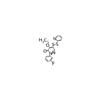 CCOc1c(SSc2ccccn2)cnn(-c2cccc(F)c2)c1=O